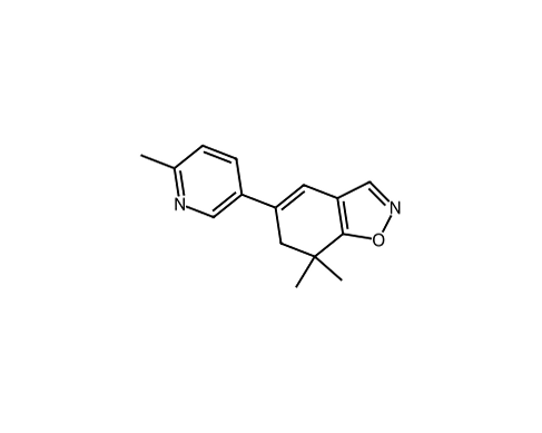 Cc1ccc(C2=Cc3cnoc3C(C)(C)C2)cn1